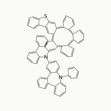 c1ccc(-c2ccccc2N(c2ccc3c(c2)-c2ccccc2-c2ccccc2N3c2ccccc2)c2ccc3c(c2)c2ccccc2c2ccccc2c2ccccc2c2cc4sc5ccccc5c4cc32)cc1